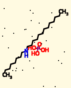 CCCCCCCCCCCCCNCCCCCCCC.O=P(O)(O)O